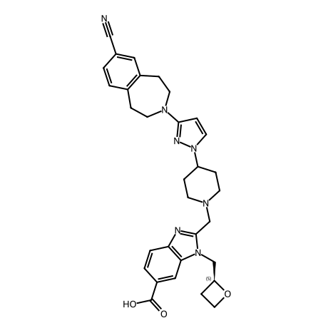 N#Cc1ccc2c(c1)CCN(c1ccn(C3CCN(Cc4nc5ccc(C(=O)O)cc5n4C[C@@H]4CCO4)CC3)n1)CC2